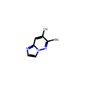 CC(C)(C)c1nn2ccnc2cc1C#N